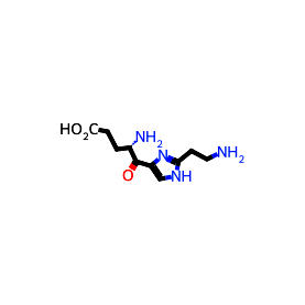 NCCc1nc(C(=O)[C@@H](N)CCC(=O)O)c[nH]1